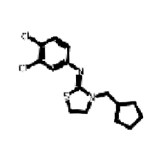 Clc1ccc(/N=C2\SCCN2CC2CCCC2)cc1Cl